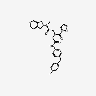 CN(C(=O)CN(CC(=O)Nc1ccc(Oc2ccc(F)cc2)cc1)C(=O)c1ccco1)C1Cc2ccccc2C1